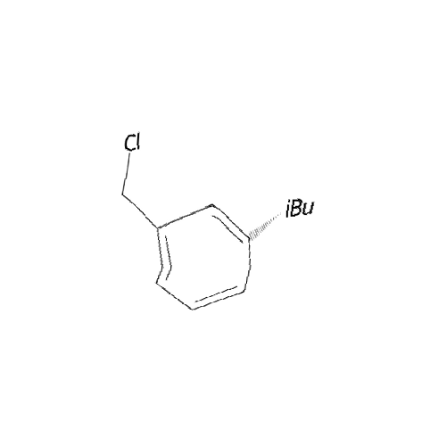 CC[C@@H](C)c1cccc(CCl)c1